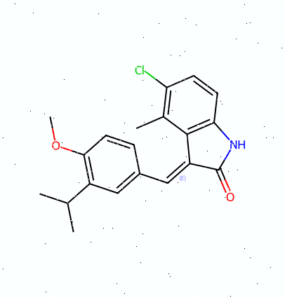 COc1ccc(/C=C2/C(=O)Nc3ccc(Cl)c(C)c32)cc1C(C)C